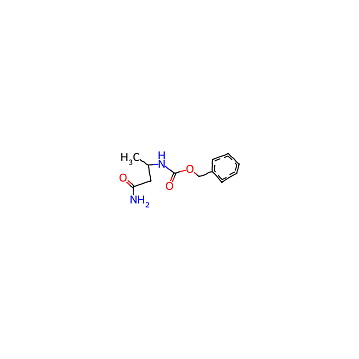 CC(CC(N)=O)NC(=O)OCc1ccccc1